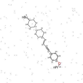 CCCC[C@H]1CC[C@H](C2CCC(/C=C/C#Cc3ccc(OCCC)cc3)CC2)CC1